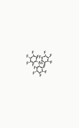 Fc1c(F)c(F)c([As](c2c(F)c(F)c(F)c(F)c2F)c2c(F)c(F)c(F)c(F)c2F)c(F)c1F